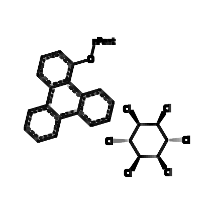 CCCCCOc1cccc2c3ccccc3c3ccccc3c12.Cl[C@H]1[C@H](Cl)[C@@H](Cl)[C@@H](Cl)[C@H](Cl)[C@H]1Cl